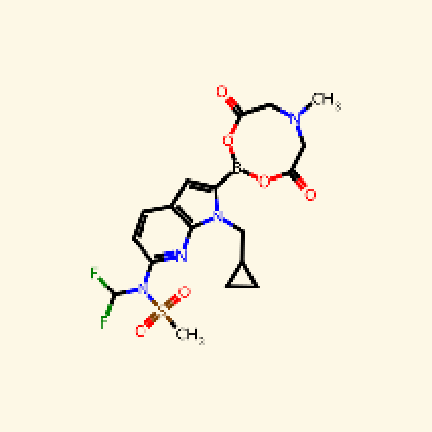 CN1CC(=O)OB(c2cc3ccc(N(C(F)F)S(C)(=O)=O)nc3n2CC2CC2)OC(=O)C1